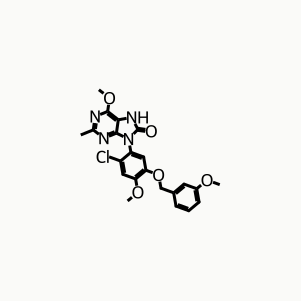 COc1cccc(COc2cc(-n3c(=O)[nH]c4c(OC)nc(C)nc43)c(Cl)cc2OC)c1